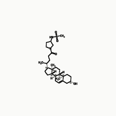 CC(CCC(=O)N1CCC(NS(C)(=O)=O)C1)[C@H]1CC[C@H]2[C@@H]3CC=C4C[C@@H](O)CC[C@]4(C)[C@H]3CC[C@]12C